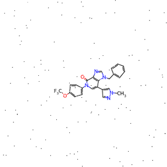 Cn1cc(-c2cn(-c3ccc(OC(F)(F)F)cc3)c(=O)c3ncn(Cc4ccccc4)c23)cn1